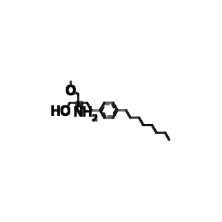 CCCCCCCCc1ccc(CC[C@](N)(CO)COC)cc1